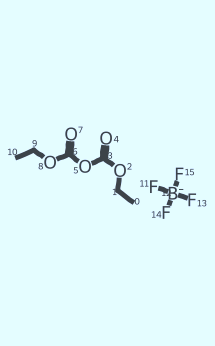 CCOC(=O)OC(=O)OCC.F[B-](F)(F)F